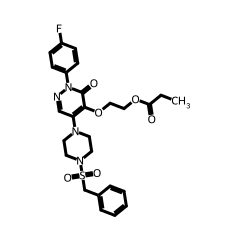 CCC(=O)OCCOc1c(N2CCN(S(=O)(=O)Cc3ccccc3)CC2)cnn(-c2ccc(F)cc2)c1=O